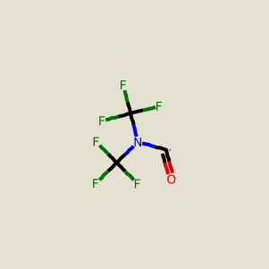 O=[C]N(C(F)(F)F)C(F)(F)F